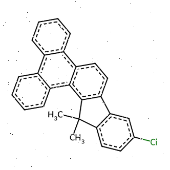 CC1(C)c2ccc(Cl)cc2-c2ccc3c4ccccc4c4ccccc4c3c21